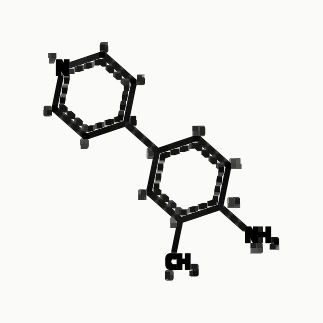 Cc1cc(-c2ccncc2)ccc1N